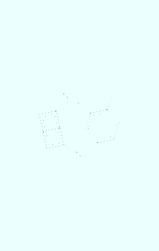 Fc1ccccc1C(F)(F)F.O=[N+]([O-])c1cc2cc([N+](=O)[O-])c1-2